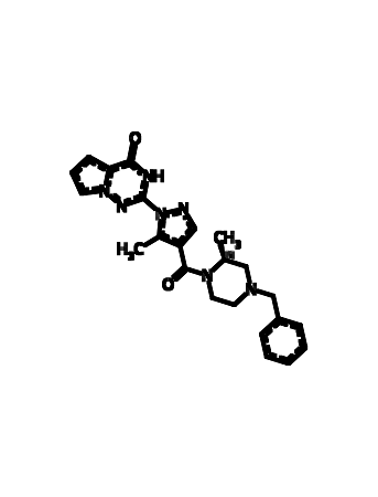 Cc1c(C(=O)N2CCN(Cc3ccccc3)C[C@@H]2C)cnn1-c1nn2cccc2c(=O)[nH]1